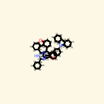 C1=c2oc3cccc(-c4cccc5oc6ccc(-n7c8ccccc8c8ccccc87)cc6c45)c3c2=C(C2=NC(c3ccccc3)=NC(c3ccccc3)N2)CC1